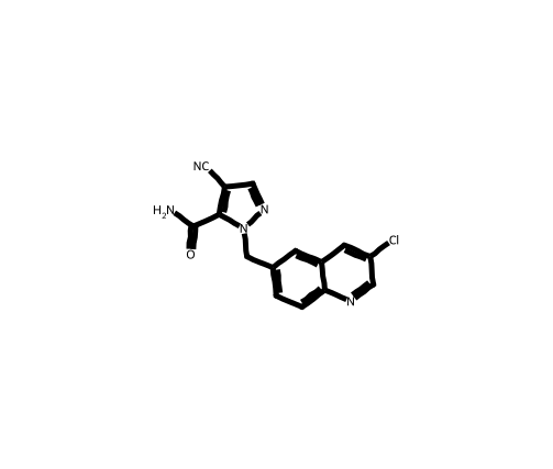 N#Cc1cnn(Cc2ccc3ncc(Cl)cc3c2)c1C(N)=O